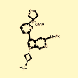 CO[C@@]1(c2cccc(-c3cn([C@H]4C[C@H](C)C4)c4cnc(NC(C)=O)cc34)n2)CCOC1